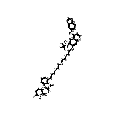 Cn1c(=O)n(C2CCC(=O)NC2=O)c2cccc(CCCOCCOCCOCCOc3cc4nccc(Nc5ccc6scnc6c5)c4cc3S(=O)(=O)C(C)(C)C)c21